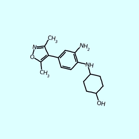 Cc1noc(C)c1-c1ccc(NC2CCC(O)CC2)c(N)c1